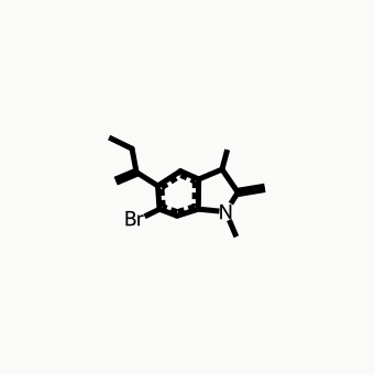 C=C(CC)c1cc2c(cc1Br)N(C)C(=C)C2C